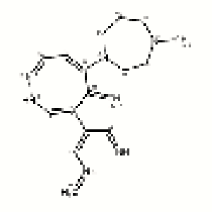 C=N/C=C(C=N)/C1=C/N/N=C\C=C(\N2CCCN(C)CC2)C1=C